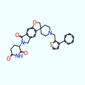 O=C1CCC(N2Cc3cc4c(cc3C2=O)OCC42CCN(Cc3sccc3-c3ccccc3)CC2)C(=O)N1